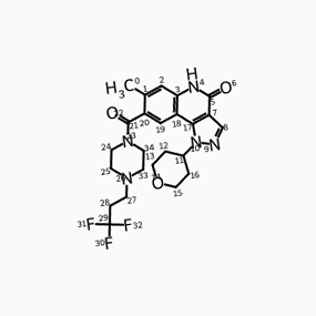 Cc1cc2[nH]c(=O)c3cnn(C4CCOCC4)c3c2cc1C(=O)N1CCN(CCC(F)(F)F)CC1